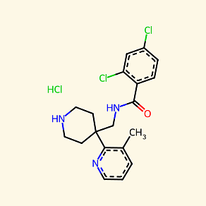 Cc1cccnc1C1(CNC(=O)c2ccc(Cl)cc2Cl)CCNCC1.Cl